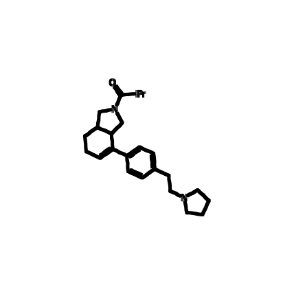 CC(C)C(=O)N1CC2CCC=C(c3ccc(CCN4CCCC4)cc3)C2C1